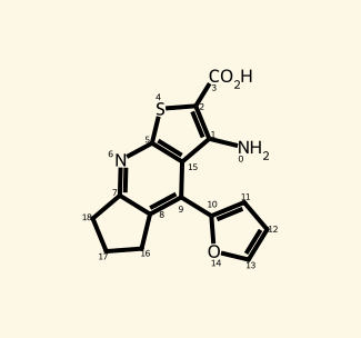 Nc1c(C(=O)O)sc2nc3c(c(-c4ccco4)c12)CCC3